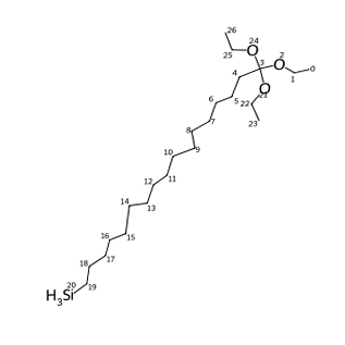 CCOC(CCCCCCCCCCCCCCCC[SiH3])(OCC)OCC